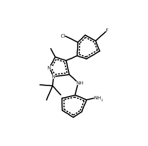 Cc1nn(C(C)(C)C)c(Nc2ccccc2N)c1-c1ccc(F)cc1Cl